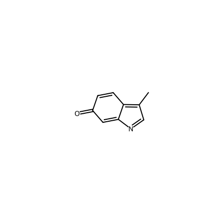 CC1=C2C=CC(=O)C=C2N=C1